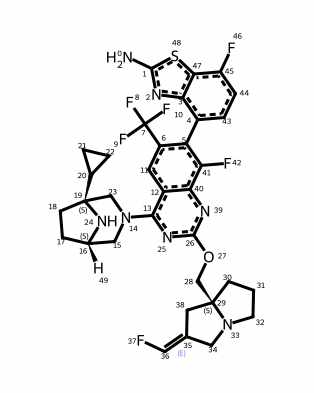 Nc1nc2c(-c3c(C(F)(F)F)cc4c(N5C[C@@H]6CC[C@](C7CC7)(C5)N6)nc(OC[C@@]56CCCN5C/C(=C/F)C6)nc4c3F)ccc(F)c2s1